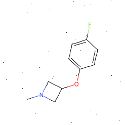 CN1CC(Oc2ccc(F)cc2)C1